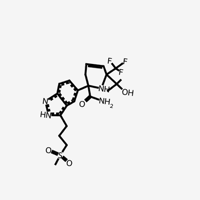 CC(C)(O)C1(C(F)(F)F)C=CCC(C(N)=O)(c2ccc3n[nH]c(CCCS(C)(=O)=O)c3c2)N1